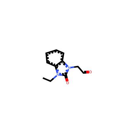 CCn1c(=O)n(CC=O)c2ccccc21